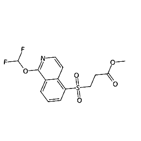 COC(=O)CCS(=O)(=O)c1cccc2c(OC(F)F)nccc12